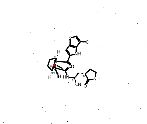 N#C[C@H](C[C@@H]1CCNC1=O)NC(=O)[C@@H]1[C@H]2CC[C@H](CC2(F)F)N1C(=O)c1cc2scc(Cl)c2[nH]1